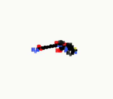 Cc1ncsc1-c1ccc(C(C)NC(=O)[C@@H]2C[C@@H](O)CN2C(=O)C(NC(=O)CCCCCCCCCCOC(N)=O)C(C)(C)C)cc1